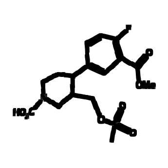 COC(=O)c1cc(C2CCN(C(=O)O)CC2COS(C)(=O)=O)ccc1F